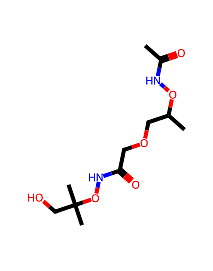 CC(=O)NOC(C)COCC(=O)NOC(C)(C)CO